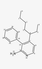 CCCCC(CC)c1ccnc(N)c1-c1ccccc1